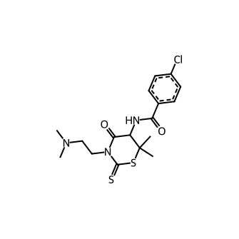 CN(C)CCN1C(=O)C(NC(=O)c2ccc(Cl)cc2)C(C)(C)SC1=S